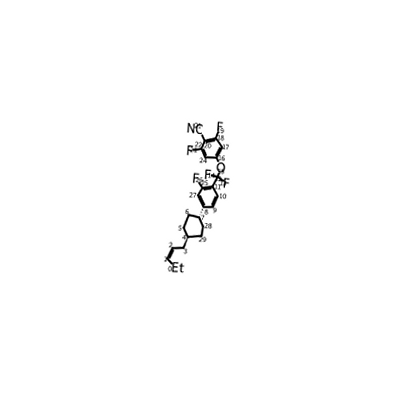 CC/C=C\C[C@H]1CC[C@H](c2ccc(C(F)(F)Oc3cc(F)c(C#N)c(F)c3)c(F)c2)CC1